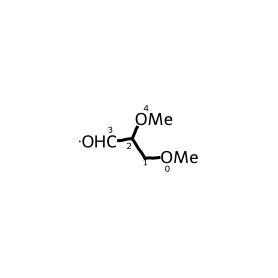 COCC([C]=O)OC